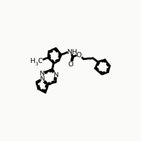 Cc1ccc(NC(=O)OCCc2ccccc2)cc1-c1ncc2cccn2n1